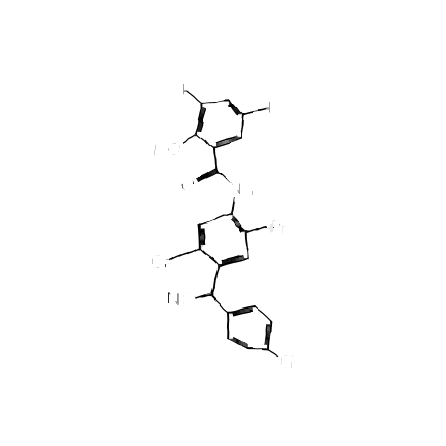 CC(C)c1cc(C(C#N)c2ccc(Cl)cc2)c(Cl)cc1NC(=O)c1cc(I)cc(I)c1O